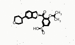 CC(C)Oc1ccc(S(=O)O)cc1C(=O)N1Cc2ccc(C3CCOCC3)cc2C1